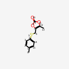 Cc1ccc(SCc2oc(=O)oc2C)cc1